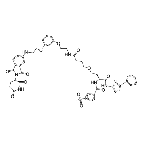 CS(=O)(=O)n1ccc(C(=O)N[C@@H](CCOCCCC(=O)NCCOc2cccc(OCCNc3ccc4c(c3)C(=O)N(C3CCC(=O)NC3=O)C4=O)c2)C(=O)Nc2nc(-c3ccccc3)cs2)c1